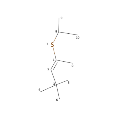 C/C(=C\C(C)(C)C)SC(C)C